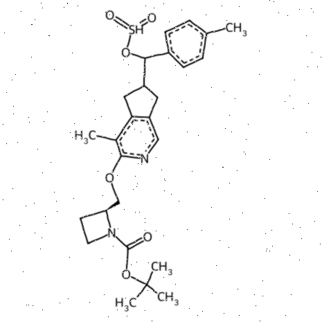 Cc1ccc(C(O[SH](=O)=O)C2Cc3cnc(OC[C@@H]4CCN4C(=O)OC(C)(C)C)c(C)c3C2)cc1